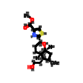 CC(=O)O[C@@H]1C[C@@H]2O[C@@H](c3nc(C(=O)OC(C)C)cs3)CC[C@@H]2[C@H]1CCO